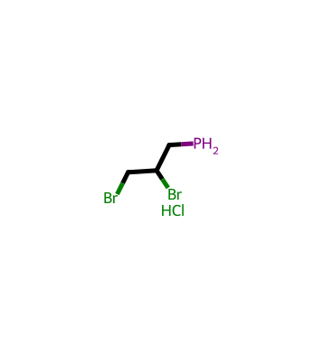 Cl.PCC(Br)CBr